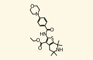 CCOC(=O)c1c(NC(=O)c2ccc(N3CCOCC3)cc2)sc2c1CC(C)(C)NC2(C)C